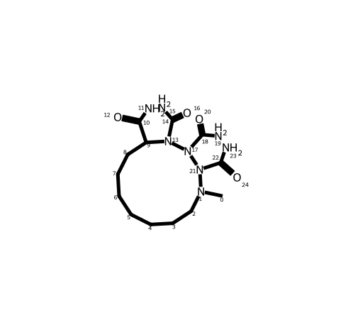 CN1CCCCCCCC(C(N)=O)N(C(N)=O)N(C(N)=O)N1C(N)=O